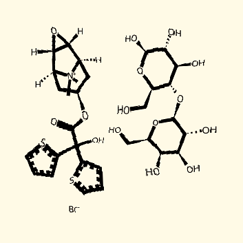 C[N+]1(C)[C@@H]2C[C@@H](OC(=O)C(O)(c3cccs3)c3cccs3)C[C@H]1[C@@H]1O[C@@H]12.OC[C@H]1O[C@@H](O[C@H]2[C@H](O)[C@@H](O)[C@H](O)O[C@@H]2CO)[C@H](O)[C@@H](O)[C@H]1O.[Br-]